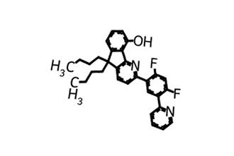 CCCCC1(CCCC)c2ccc(-c3cc(-c4ccccn4)c(F)cc3F)nc2-c2c(O)cccc21